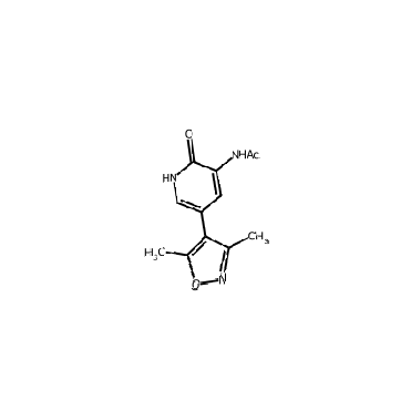 CC(=O)Nc1cc(-c2c(C)noc2C)c[nH]c1=O